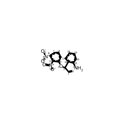 C=CC(Oc1cccc([N+](=O)[O-])c1[N+](=O)[O-])c1ccccc1N